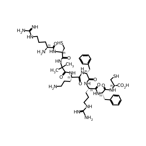 CC(C)(NC(=O)[C@H](CS)NC(=O)[C@@H](N)CCCNC(=N)N)C(=O)N[C@@H](CCCN)C(=O)N[C@H](Cc1ccccc1)C(=O)N[C@@H](CCCNC(=N)N)C(=O)N[C@@H](Cc1ccccc1)C(=O)N[C@@H](CS)C(=O)O